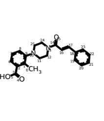 Cc1c(C(=O)O)cccc1N1CCN(C(=O)C=Cc2ccccc2)CC1